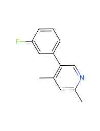 Cc1cc(C)c(-c2c[c]cc(F)c2)cn1